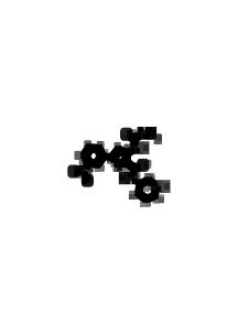 NC(=O)Nc1cc(-c2cccc([N+](=O)[O-])c2)sc1C(=O)N[C@H]1CCCNC1